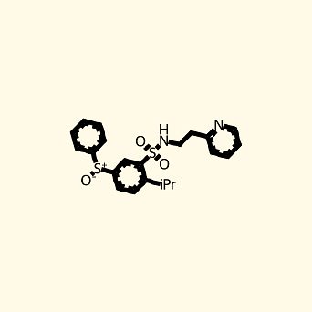 CC(C)c1ccc([S+]([O-])c2ccccc2)cc1S(=O)(=O)NCCc1ccccn1